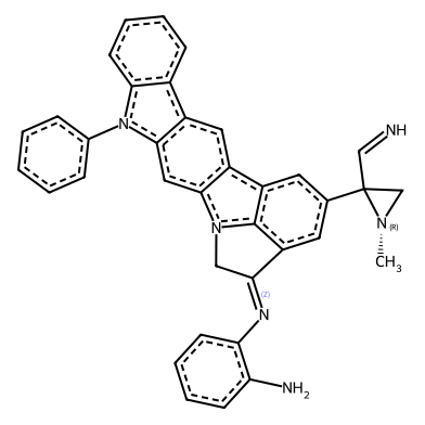 C[N@@]1CC1(C=N)c1cc2c3c(c1)c1cc4c5ccccc5n(-c5ccccc5)c4cc1n3C/C2=N\c1ccccc1N